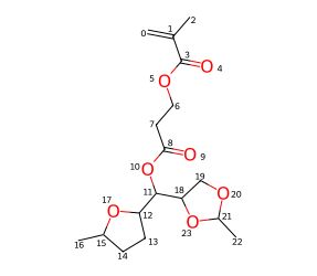 C=C(C)C(=O)OCCC(=O)OC(C1CCC(C)O1)C1COC(C)O1